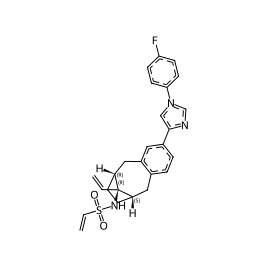 C=C[C@]1(NS(=O)(=O)C=C)[C@@H]2CC[C@H]1Cc1ccc(-c3cn(-c4ccc(F)cc4)cn3)cc1C2